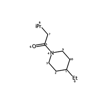 CCC1CCN(C(=O)CC(C)C)CC1